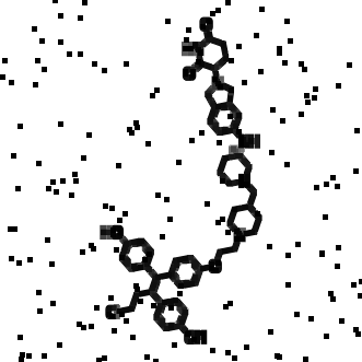 O=C1CCC(N2Cc3ccc(N[C@H]4CCCN(CC5CCN(CCOc6ccc(C(=C(CCCl)c7ccc(O)cc7)c7ccc(O)cc7)cc6)CC5)C4)cc3C2)C(=O)N1